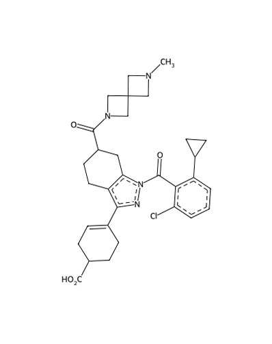 CN1CC2(C1)CN(C(=O)C1CCc3c(C4=CCC(C(=O)O)CC4)nn(C(=O)c4c(Cl)cccc4C4CC4)c3C1)C2